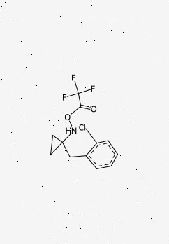 O=C(ONC1(Cc2ccccc2Cl)CC1)C(F)(F)F